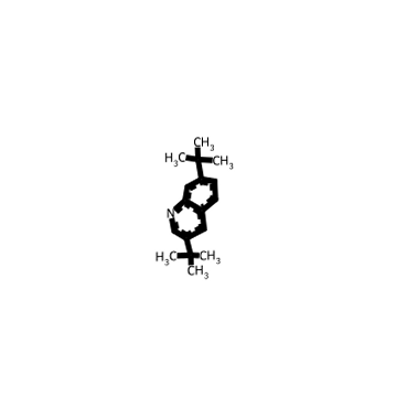 CC(C)(C)c1cnc2cc(C(C)(C)C)ccc2c1